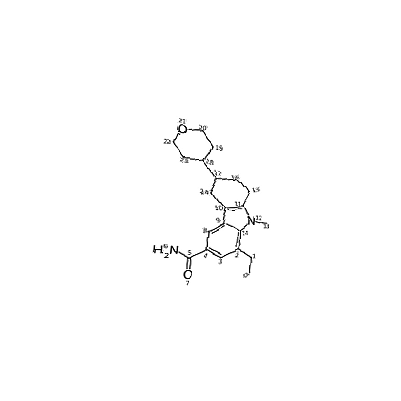 CCc1cc(C(N)=O)cc2c3c(n(C)c12)CCC(C1CCOCC1)C3